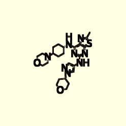 Cc1nc2c(N[C@H]3CC[C@H](N4CCOCC4)CC3)nc(Nc3cnn(C4CCOCC4)c3)nc2s1